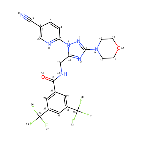 N#Cc1ccc(-n2nc(N3CCOCC3)nc2CNC(=O)c2cc(C(F)(F)F)cc(C(F)(F)F)c2)nc1